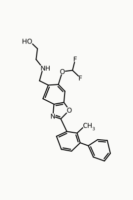 Cc1c(-c2ccccc2)cccc1-c1nc2cc(CNCCO)c(OC(F)F)cc2o1